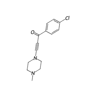 CN1CCN(C#CC(=O)c2ccc(Cl)cc2)CC1